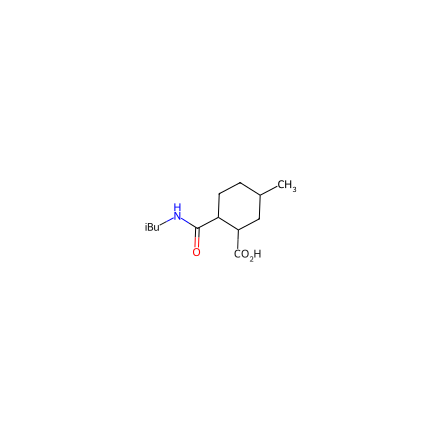 CCC(C)NC(=O)C1CCC(C)CC1C(=O)O